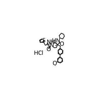 COc1cccc(-c2ccc(CC3(C(=O)NC4CCCCC4)CCN(C(=O)[C@@H](N)Cc4cccs4)CC3)cc2)c1.Cl